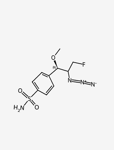 CO[C@H](c1ccc(S(N)(=O)=O)cc1)C(CF)N=[N+]=[N-]